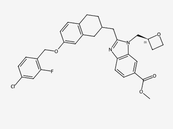 COC(=O)c1ccc2nc(CC3CCc4ccc(OCc5ccc(Cl)cc5F)cc4C3)n(C[C@@H]3CCO3)c2c1